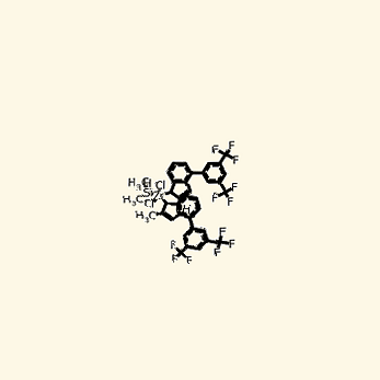 CC1=Cc2c(-c3cc(C(F)(F)F)cc(C(F)(F)F)c3)cccc2[CH]1[Zr]([Cl])([Cl])([CH]1C(C)=Cc2c(-c3cc(C(F)(F)F)cc(C(F)(F)F)c3)cccc21)[SiH](C)C